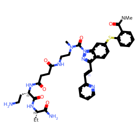 CC[C@H](NC(=O)[C@H](CCN)NC(=O)CCC(=O)NCCN(C)C(=O)n1nc(/C=C/c2ccccn2)c2ccc(Sc3ccccc3C(=O)NC)cc21)C(N)=O